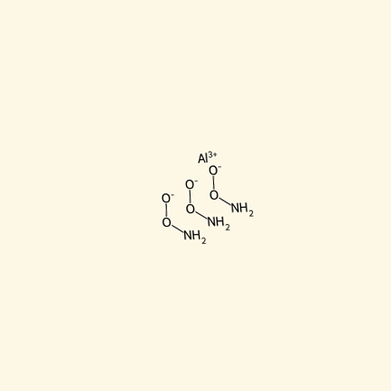 NO[O-].NO[O-].NO[O-].[Al+3]